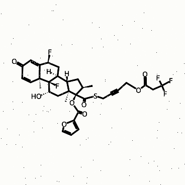 C[C@@H]1C[C@H]2[C@@H]3C[C@H](F)C4=CC(=O)C=C[C@]4(C)[C@@]3(F)[C@@H](O)C[C@]2(C)[C@@]1(OC(=O)c1ccco1)C(=O)SCC#CCOC(=O)CC(F)(F)F